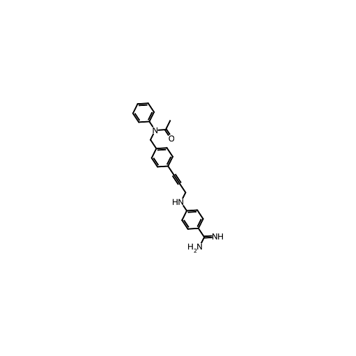 CC(=O)N(Cc1ccc(C#CCNc2ccc(C(=N)N)cc2)cc1)c1ccccc1